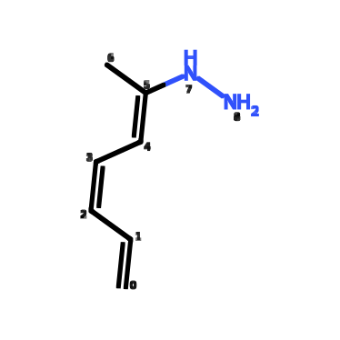 C=C/C=C\C=C(/C)NN